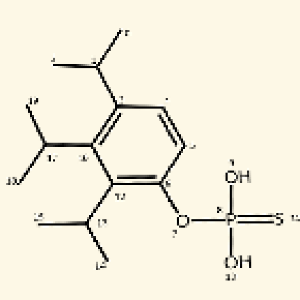 CC(C)c1ccc(OP(O)(O)=S)c(C(C)C)c1C(C)C